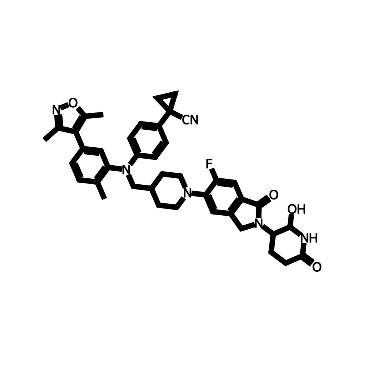 Cc1ccc(-c2c(C)noc2C)cc1N(CC1CCN(c2cc3c(cc2F)C(=O)N(C2CCC(=O)NC2O)C3)CC1)c1ccc(C2(C#N)CC2)cc1